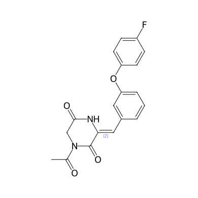 CC(=O)N1CC(=O)N/C(=C\c2cccc(Oc3ccc(F)cc3)c2)C1=O